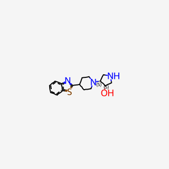 O[C@H]1CNC[C@@H]1N1CCC(c2nc3ccccc3s2)CC1